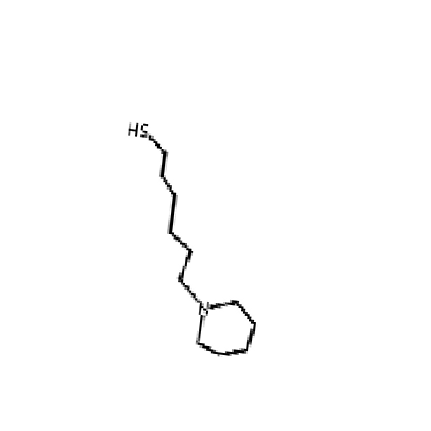 SCCCCCCN1CCCCC1